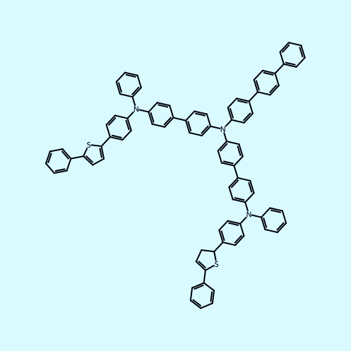 C1=C(c2ccccc2)SC(c2ccc(N(c3ccccc3)c3ccc(-c4ccc(N(c5ccc(-c6ccc(-c7ccccc7)cc6)cc5)c5ccc(-c6ccc(N(c7ccccc7)c7ccc(-c8ccc(-c9ccccc9)s8)cc7)cc6)cc5)cc4)cc3)cc2)C1